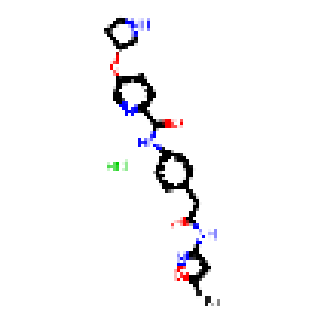 CC(C)(C)c1cc(NC(=O)Cc2ccc(NC(=O)c3ccc(O[C@H]4CCNC4)cn3)cc2)no1.Cl